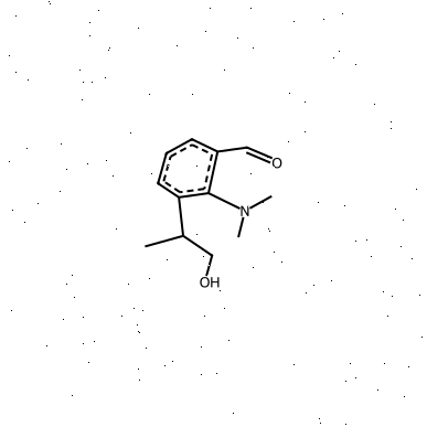 CC(CO)c1cccc(C=O)c1N(C)C